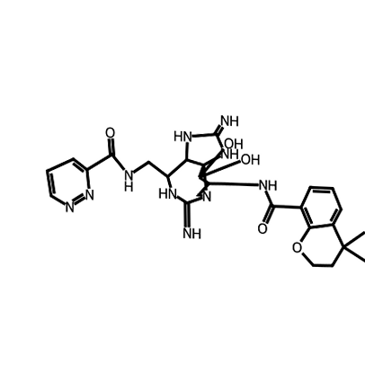 CC1(C)CCOc2c(C(=O)NC3CN4C(=N)NC(CNC(=O)c5cccnn5)C5NC(=N)NC54C3(O)O)cccc21